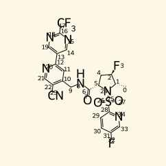 C[C@H]1[C@H](F)C[C@@H](C(=O)NCc2cc(-c3cnc(C(F)(F)F)nc3)ncc2C#N)N1S(=O)(=O)c1ccc(F)cn1